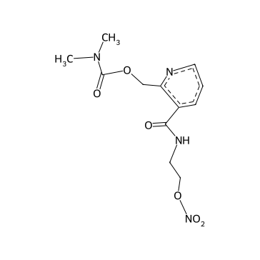 CN(C)C(=O)OCc1ncccc1C(=O)NCCO[N+](=O)[O-]